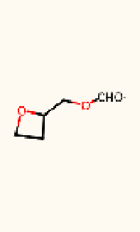 O=[C]OCC1CCO1